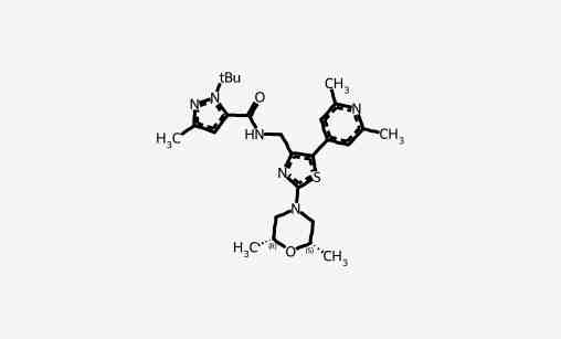 Cc1cc(-c2sc(N3C[C@@H](C)O[C@@H](C)C3)nc2CNC(=O)c2cc(C)nn2C(C)(C)C)cc(C)n1